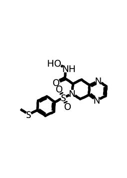 CSc1ccc(S(=O)(=O)N2Cc3nccnc3CC2C(=O)NO)cc1